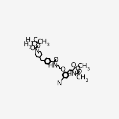 COC(=O)C(=Cc1ccc(C#N)cc1OCCNC(=O)c1ccc(CC2CCN(C(=O)OC(C)(C)C)CC2)cc1)NC(C)=O